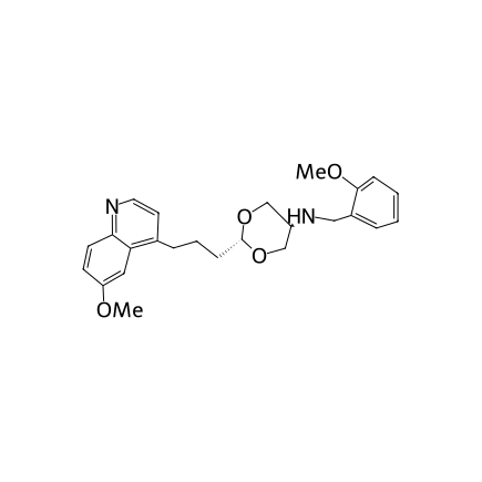 COc1ccc2nccc(CCC[C@H]3OC[C@H](NCc4ccccc4OC)CO3)c2c1